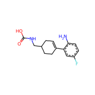 Nc1ccc(F)cc1C1=CCC(CNC(=O)O)CC1